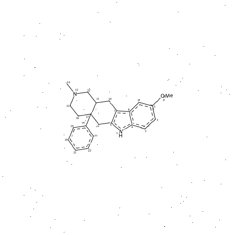 COc1ccc2[nH]c3c(c2c1)CC1CN(C)CCC1(c1ccccc1)C3